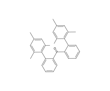 Cc1cc(C)c(-c2ccccc2C(=O)c2ccccc2-c2c(C)cc(C)cc2C)c(C)c1